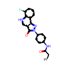 CC(C)CC(=O)Nc1ccc(-n2nc3c4cccc(F)c4[nH]cc-3c2=O)cc1